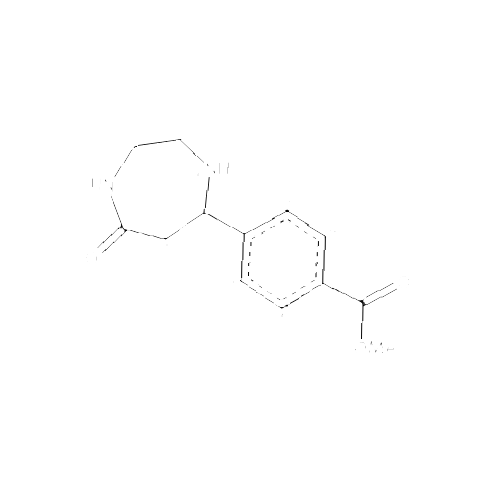 COC(=O)c1ccc(C2CC(=O)NCCN2)cc1